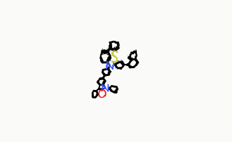 c1ccc(-n2c3cc(-c4ccc(N(c5ccc(-c6cccc7ccccc67)cc5)c5cccc6c5sc5ccccc56)cc4)ccc3c3c4ccccc4oc32)cc1